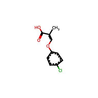 CC(=COc1ccc(Cl)cc1)C(=O)O